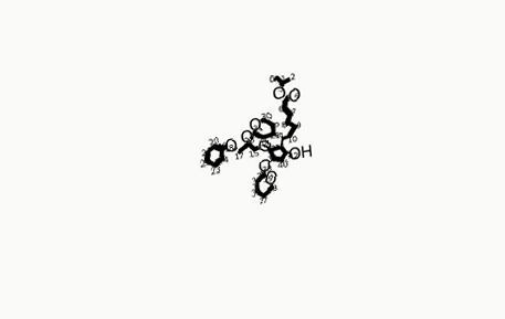 CC(C)OC(=O)CCC/C=C\C[C@@H]1[C@H](OCC(COc2ccccc2)OC2CCCCO2)[C@@H](OC2CCCCO2)C[C@H]1O